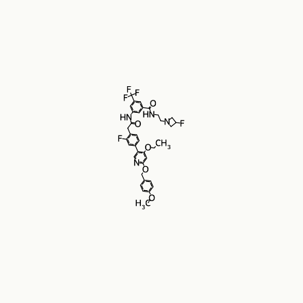 CCOc1cc(OCc2ccc(OC)cc2)ncc1-c1ccc(CC(=O)Nc2cc(C(=O)NCCN3CC(F)C3)cc(C(F)(F)F)c2)c(F)c1